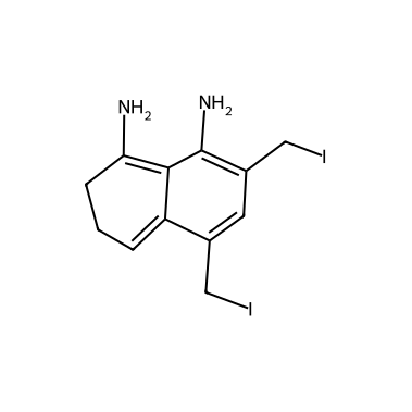 NC1=c2c(N)c(CI)cc(CI)c2=CCC1